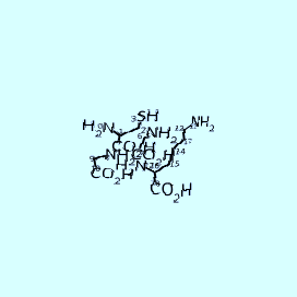 NC(CS)C(=O)O.NCC(=O)O.NCC(=O)O.NCCCCC(N)C(=O)O